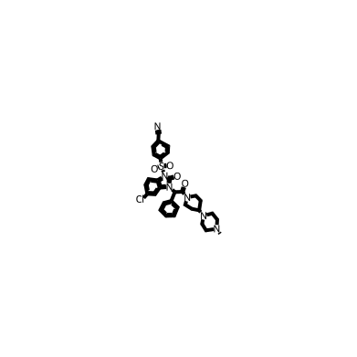 CN1CCN(C2CCN(C(=O)C(c3ccccc3)n3c(=O)n(S(=O)(=O)c4ccc(C#N)cc4)c4ccc(Cl)cc43)CC2)CC1